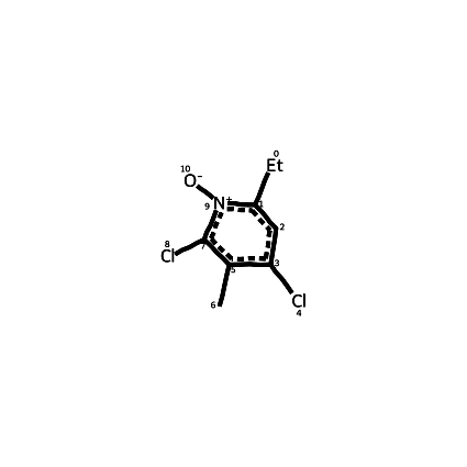 CCc1cc(Cl)c(C)c(Cl)[n+]1[O-]